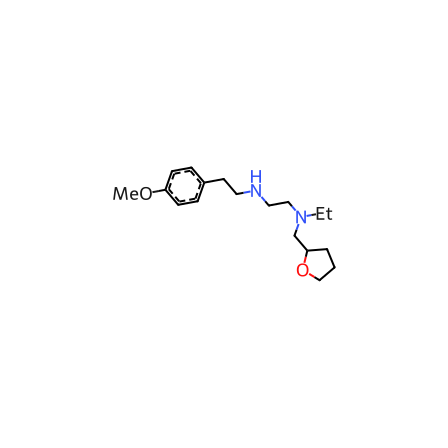 CCN(CCNCCc1ccc(OC)cc1)CC1CCCO1